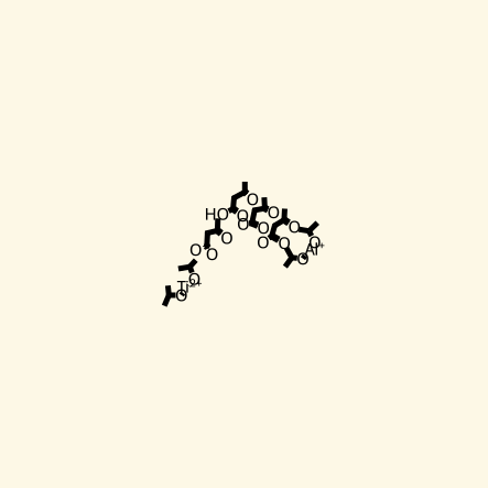 CC(=O)CC(=O)O.CC(=O)CC(=O)[O-].CC(=O)CC(=O)[O-].CC(=O)CC(=O)[O-].CC(C)[O][Al+][O]C(C)C.CC(C)[O][Ti+2][O]C(C)C